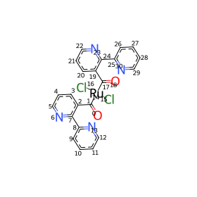 O=[C](c1cccnc1-c1ccccn1)[Ru]([Cl])([Cl])[C](=O)c1cccnc1-c1ccccn1